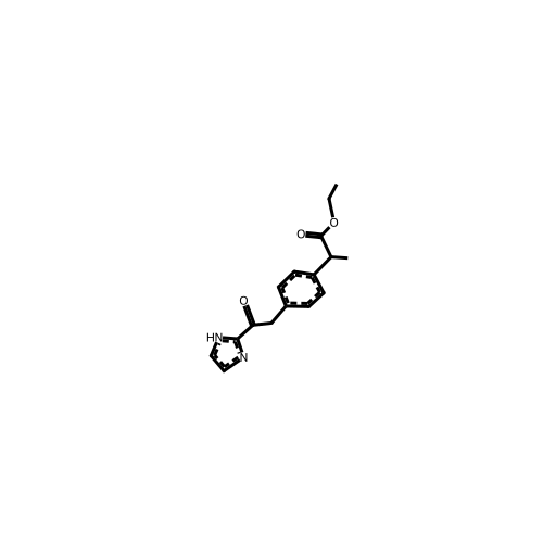 CCOC(=O)C(C)c1ccc(CC(=O)c2ncc[nH]2)cc1